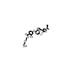 C#CC(C)n1cc(-c2cnc3c(Oc4ccc(C(=O)OCCOCCO)c(CC)c4)nccn23)c(C(F)(F)F)n1